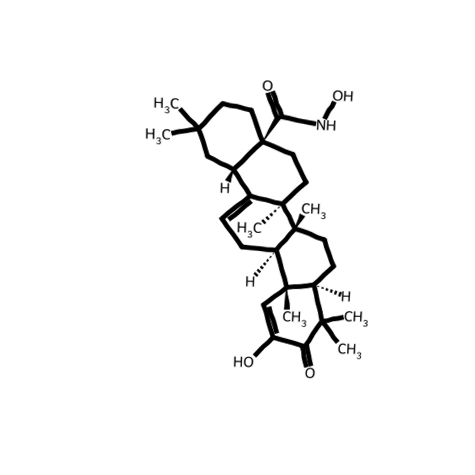 CC1(C)CC[C@]2(C(=O)NO)CC[C@]3(C)C(=CC[C@@H]4[C@@]5(C)C=C(O)C(=O)C(C)(C)[C@@H]5CC[C@]43C)[C@@H]2C1